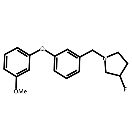 COc1cccc(Oc2cccc(CN3CCC(F)C3)c2)c1